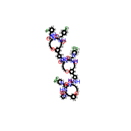 O=C1CCc2cc(cc(C3CCC(NC(=O)[C@@H]4CCCCOc5cccc(c5)C[C@H](N5CCCC5=O)C(=O)N[C@@H](CCN5CCC(F)(F)CC5)C(=O)N4)C3)c2)OCCCC[C@@H](C(=O)NC2CCC(c3cc4cc(c3)OCCCC[C@H](C(=O)NCc3ccccc3F)NC(=O)[C@H](CCc3ccc(F)cc3)NC(=O)CC4)C2)NC(=O)[C@H](CCN2CCC(F)(F)CC2)N1